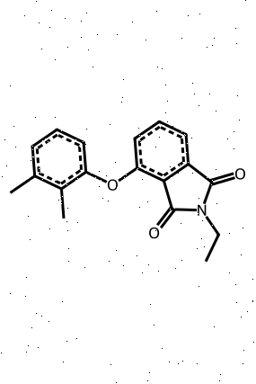 CCN1C(=O)c2cccc(Oc3cccc(C)c3C)c2C1=O